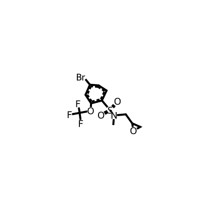 CN(CC1CO1)S(=O)(=O)c1ccc(Br)cc1OC(F)(F)F